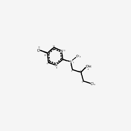 [O-][S+](CC(O)CCl)c1ncc(Cl)cn1